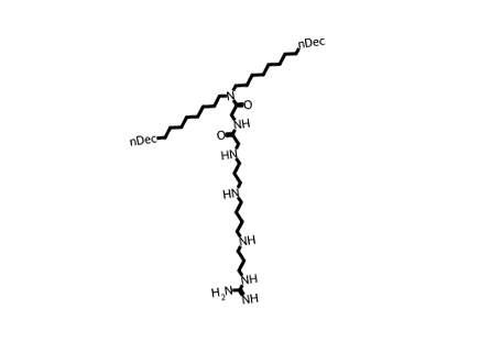 CCCCCCCCCCCCCCCCCCN(CCCCCCCCCCCCCCCCCC)C(=O)CNC(=O)CNCCCNCCCCNCCCNC(=N)N